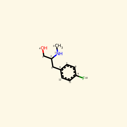 CNC(CO)Cc1ccc(F)cc1